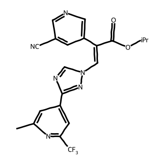 Cc1cc(-c2ncn(/C=C(/C(=O)OC(C)C)c3cncc(C#N)c3)n2)cc(C(F)(F)F)n1